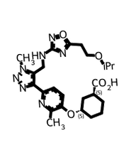 Cc1nc(-c2nnn(C)c2CNc2noc(CCOC(C)C)n2)ccc1O[C@H]1CCC[C@H](C(=O)O)C1